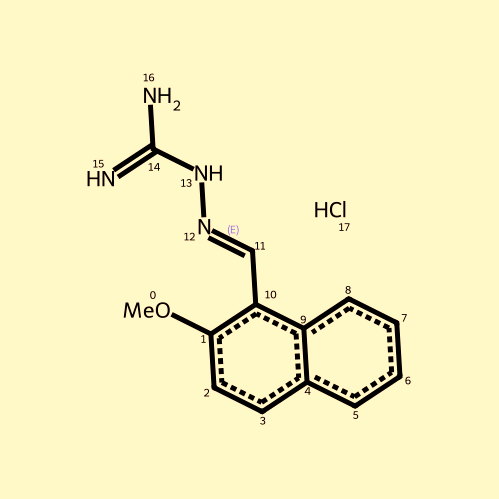 COc1ccc2ccccc2c1/C=N/NC(=N)N.Cl